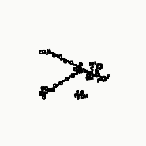 CC(C)(C)[C@H](c1cc(-c2cc(F)ccc2F)cn1Cc1ccccc1)N(CCCN)C(=O)CSC[C@H](NC(=O)CCOCCOCCOCCOCCNC(=O)CN1C(=O)C=CC1=O)C(=O)NCCOCCOCCOCCOCCC(=O)O.O=C(O)C(F)(F)F